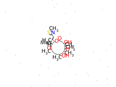 CNC1[C@@H](/C(C)=C/c2csc(C)n2)OC(=O)C[C@H](O)C(C)(C)C(=O)[C@H](C)[C@@H](O)[C@@H](C)CCC[C@@]2(C)O[C@@H]12